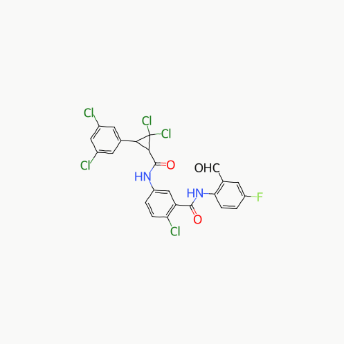 O=Cc1cc(F)ccc1NC(=O)c1cc(NC(=O)C2C(c3cc(Cl)cc(Cl)c3)C2(Cl)Cl)ccc1Cl